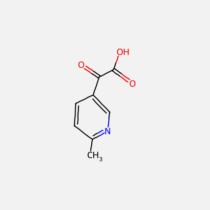 Cc1ccc(C(=O)C(=O)O)cn1